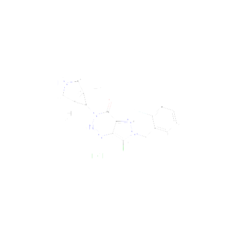 Cl.O=c1c2nn(Cc3ccccc3F)c(Cl)c2nnn1C1[C@H]2CNC[C@@H]12